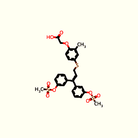 Cc1cc(SCC=C(c2cccc(OS(C)(=O)=O)c2)c2cccc(OS(C)(=O)=O)c2)ccc1OCC(=O)O